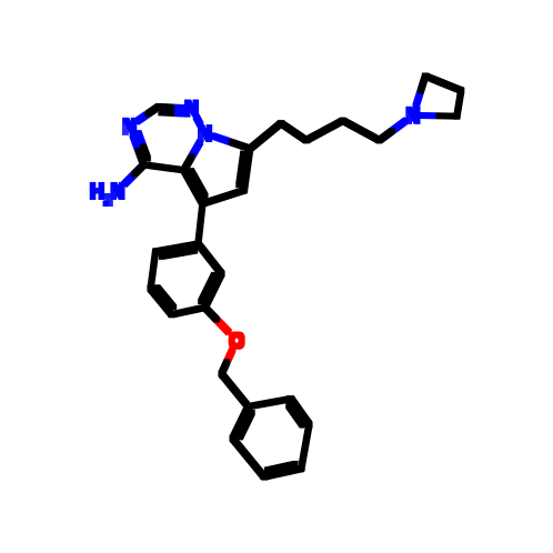 Nc1ncnn2c(CCCCN3CCC3)cc(-c3cccc(OCc4ccccc4)c3)c12